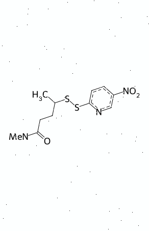 CNC(=O)CCC(C)SSc1ccc([N+](=O)[O-])cn1